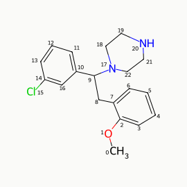 COc1ccccc1CC(c1cccc(Cl)c1)N1CCNCC1